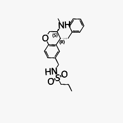 CCCS(=O)(=O)NCc1ccc2c(c1)[C@@H](Cc1ccccc1)[C@H](NC)CO2